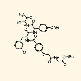 COc1ccc(C(NC(=O)C(Cc2cccc(Cl)c2)NC(=O)c2ccc(OCC(=O)NCC(=O)OC(C)(C)C)cc2)C(=O)NC(C(=O)C(F)(F)F)C(C)C)cc1